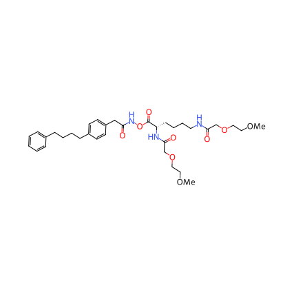 COCCOCC(=O)NCCCC[C@H](NC(=O)COCCOC)C(=O)ONC(=O)Cc1ccc(CCCCc2ccccc2)cc1